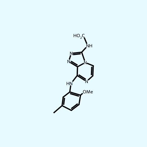 COc1ccc(C)cc1Nc1nccn2c(NC(=O)O)nnc12